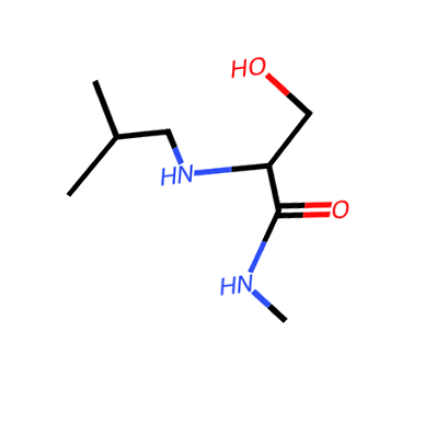 CNC(=O)C(CO)NCC(C)C